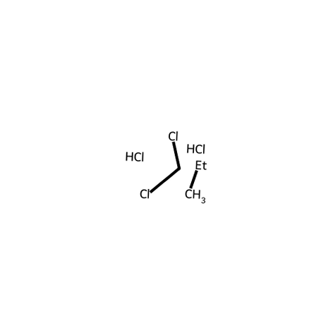 CCC.Cl.Cl.ClCCl